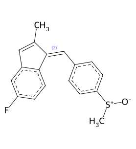 CC1=Cc2cc(F)ccc2/C1=C\c1ccc([S+](C)[O-])cc1